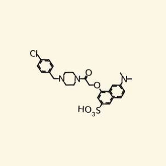 CN(C)c1ccc2cc(S(=O)(=O)O)cc(OCC(=O)N3CCN(Cc4ccc(Cl)cc4)CC3)c2c1